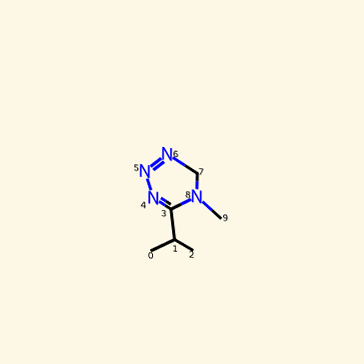 CC(C)C1=NN=NCN1C